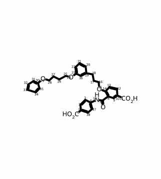 O=C(O)c1ccc(NC(=O)c2cc(C(=O)O)ccc2OCCCc2cccc(OCCCCOc3ccccc3)c2)cc1